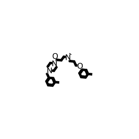 Cc1cccc(CN2CCN(C(=O)CCN(C)CCCOc3cccc(C)c3)CC2)c1